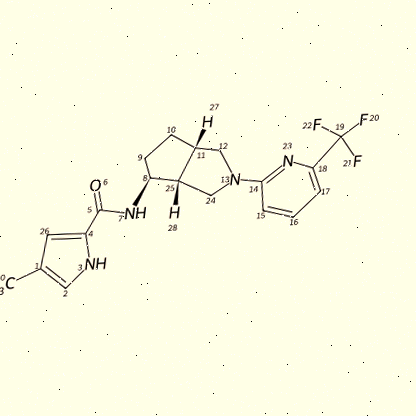 Cc1c[nH]c(C(=O)N[C@H]2CC[C@@H]3CN(c4cccc(C(F)(F)F)n4)C[C@@H]32)c1